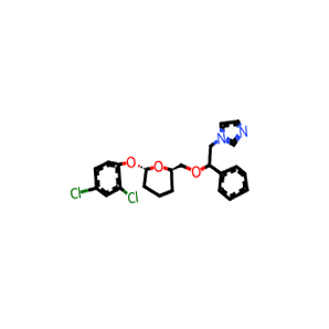 Clc1ccc(O[C@H]2CCC[C@H](COC(Cn3ccnc3)c3ccccc3)O2)c(Cl)c1